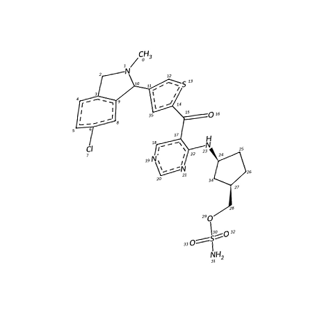 CN1Cc2ccc(Cl)cc2C1c1csc(C(=O)c2cncnc2N[C@H]2CC[C@@H](COS(N)(=O)=O)C2)c1